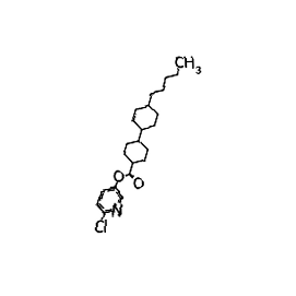 CCCCCC1CCC(C2CCC(C(=O)Oc3ccc(Cl)nc3)CC2)CC1